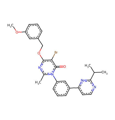 COc1cccc(COc2nc(C)n(-c3cccc(-c4ccnc(C(C)C)n4)c3)c(=O)c2Br)c1